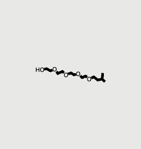 CC(C)CCOCCOCCOCCOCCO